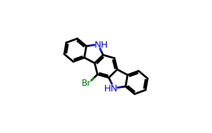 Brc1c2[nH]c3ccccc3c2cc2[nH]c3ccccc3c12